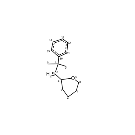 CC(C)([SiH2]C1CCCCO1)c1ccccc1